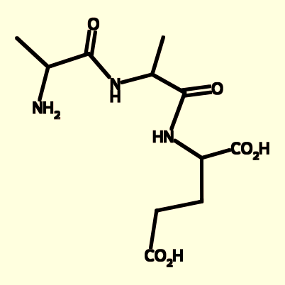 CC(N)C(=O)NC(C)C(=O)NC(CCC(=O)O)C(=O)O